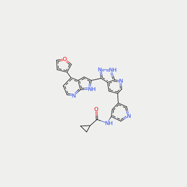 O=C(Nc1cncc(-c2cnc3[nH]nc(-c4cc5c(-c6ccoc6)ccnc5[nH]4)c3c2)c1)C1CC1